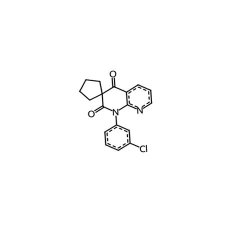 O=C1c2cccnc2N(c2cccc(Cl)c2)C(=O)C12CCCC2